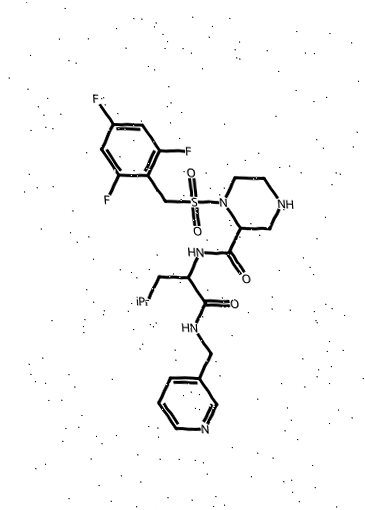 CC(C)CC(NC(=O)C1CNCCN1S(=O)(=O)Cc1c(F)cc(F)cc1F)C(=O)NCc1cccnc1